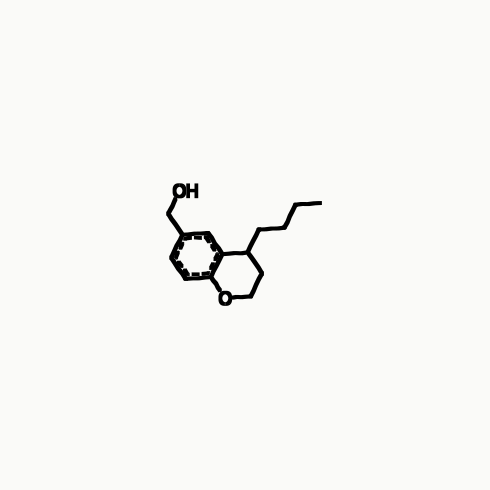 CCCCC1CCOc2ccc(CO)cc21